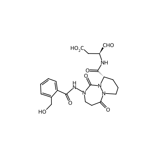 O=C[C@H](CC(=O)O)NC(=O)[C@@H]1CCCN2C(=O)CCN(NC(=O)c3ccccc3CO)C(=O)N12